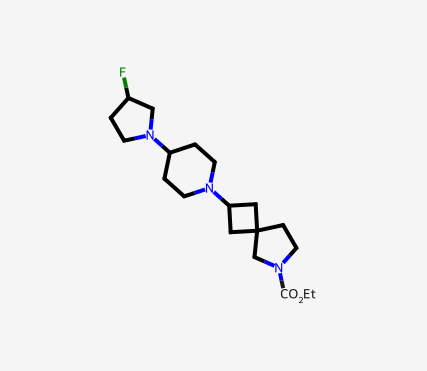 CCOC(=O)N1CCC2(CC(N3CCC(N4CCC(F)C4)CC3)C2)C1